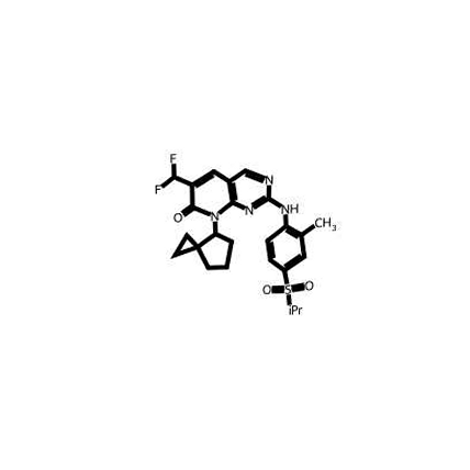 Cc1cc(S(=O)(=O)C(C)C)ccc1Nc1ncc2cc(C(F)F)c(=O)n(C3CCCC34CC4)c2n1